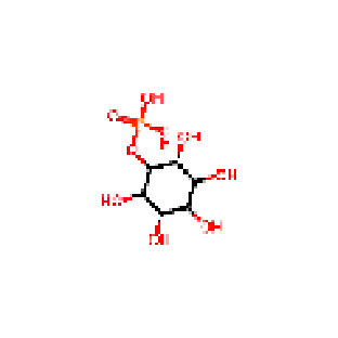 O=P(O)(O)OC1[C@@H](O)C(O)C(O)[C@@H](O)[C@H]1O